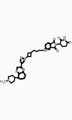 CN1CCC(c2cccc3nc(-c4cnn(C5CC(CCCNc6ccc7c(c6)C(=O)N(C6CCC(=O)NC6=O)C7=O)C5)c4)cnc23)CC1